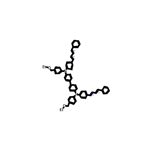 CCOCc1ccc(N(c2ccc(/C=C/C=C/c3ccccc3)cc2)c2ccc(-c3ccc(N(c4ccc(/C=C/C=C/c5ccccc5)cc4)c4ccc(COCC)cc4)cc3)cc2)cc1